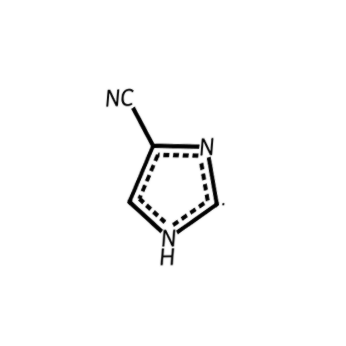 N#Cc1c[nH][c]n1